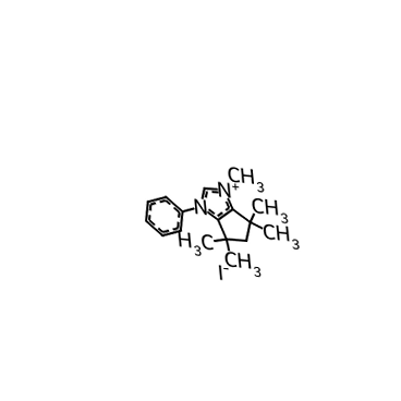 C[n+]1cn(-c2ccccc2)c2c1C(C)(C)CC2(C)C.[I-]